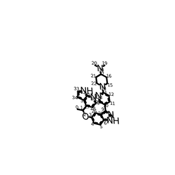 CC(Oc1ccc2[nH]nc(-c3ccc(N4CCC(N(C)C)CC4)nc3)c2c1)c1ccnc2[nH]ccc12